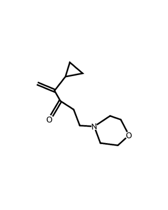 C=C(C(=O)CCN1CCOCC1)C1CC1